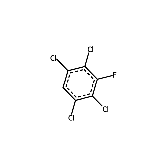 Fc1c(Cl)c(Cl)cc(Cl)c1Cl